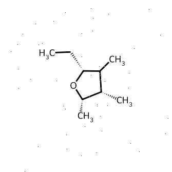 CC[C@H]1O[C@@H](C)[C@@H](C)C1C